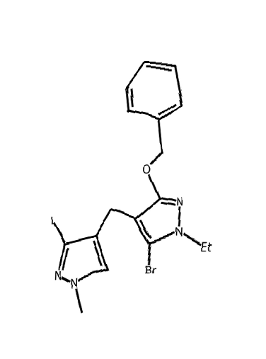 CCn1nc(OCc2ccccc2)c(Cc2cn(C)nc2I)c1Br